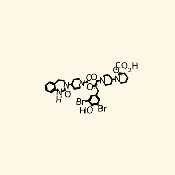 O=C(O)O[C@H]1CCCCN1C1CCN(C(=O)[C@@H](Cc2cc(Br)c(O)c(Br)c2)OC(=O)N2CCC(N3CCc4ccccc4NC3=O)CC2)CC1